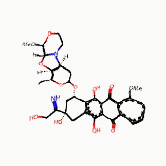 COc1cccc2c1C(=O)c1c(O)c3c(c(O)c1C2=O)C[C@@](O)(C(=N)CO)C[C@@H]3OC1C[C@H]2[C@H](O[C@@H]3[C@@H](OC)OCCN32)[C@H](C)O1